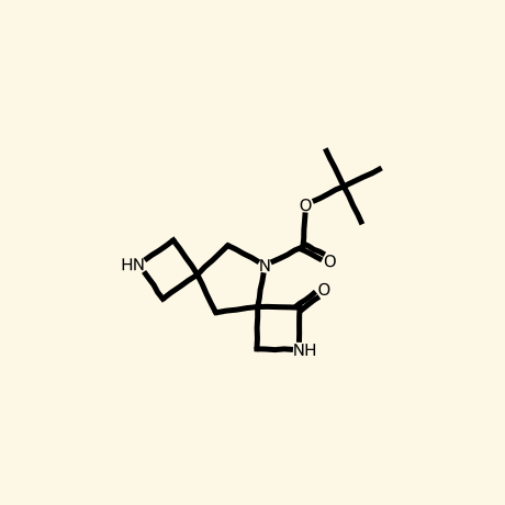 CC(C)(C)OC(=O)N1CC2(CNC2)CC12CNC2=O